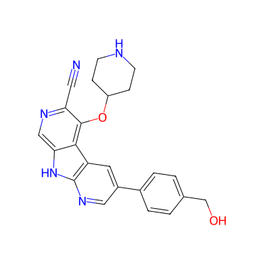 N#Cc1ncc2[nH]c3ncc(-c4ccc(CO)cc4)cc3c2c1OC1CCNCC1